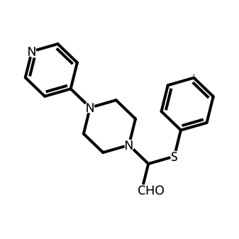 O=CC(Sc1cc[c]cc1)N1CCN(c2ccncc2)CC1